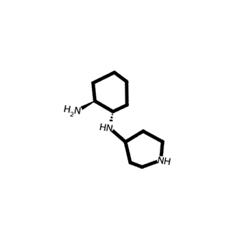 N[C@H]1CCCC[C@@H]1NC1CCNCC1